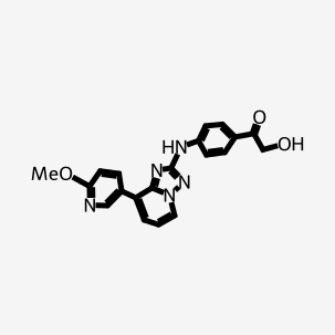 COc1ccc(-c2cccn3nc(Nc4ccc(C(=O)CO)cc4)nc23)cn1